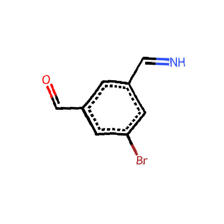 N=Cc1cc(Br)cc(C=O)c1